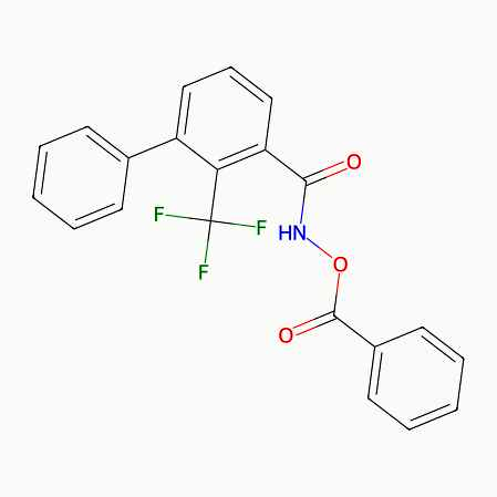 O=C(ONC(=O)c1cccc(-c2ccccc2)c1C(F)(F)F)c1ccccc1